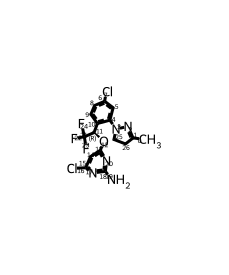 CC1=NN(c2cc(Cl)ccc2[C@@H](Oc2cc(Cl)nc(N)n2)C(F)(F)F)CC1